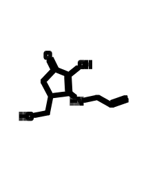 C=CCNC1=C(O)C(=O)CC1CO